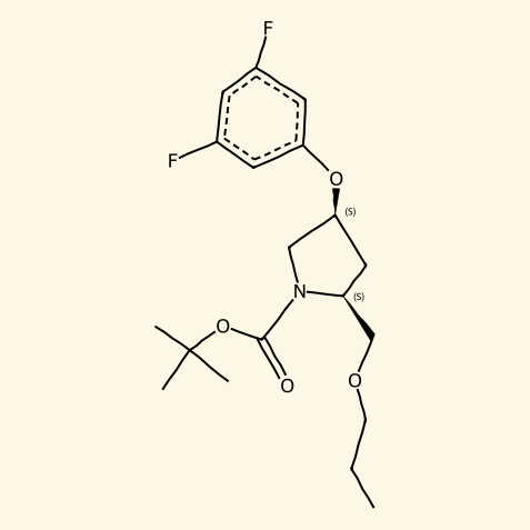 CCCOC[C@@H]1C[C@H](Oc2cc(F)cc(F)c2)CN1C(=O)OC(C)(C)C